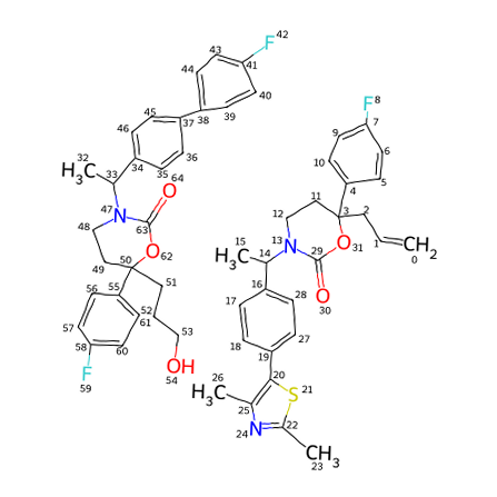 C=CCC1(c2ccc(F)cc2)CCN(C(C)c2ccc(-c3sc(C)nc3C)cc2)C(=O)O1.CC(c1ccc(-c2ccc(F)cc2)cc1)N1CCC(CCCO)(c2ccc(F)cc2)OC1=O